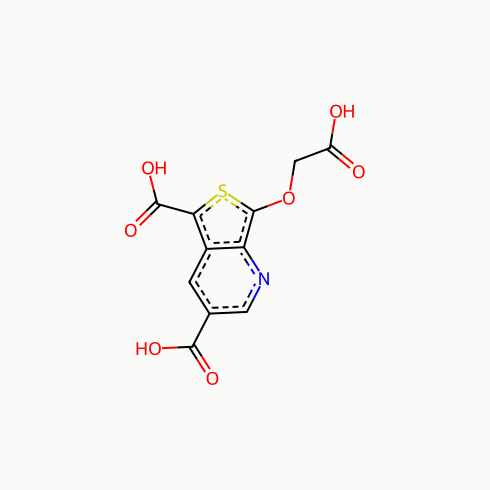 O=C(O)COc1sc(C(=O)O)c2cc(C(=O)O)cnc12